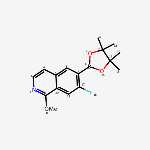 COc1nccc2cc(B3OC(C)(C)C(C)(C)O3)c(F)cc12